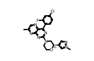 Cc1cnc2c(-c3ccc(Cl)cc3F)nc(N3CCO[C@H](c4cnn(C)c4)C3)nc2n1